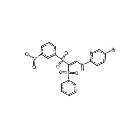 O=[N+]([O-])c1cccc(S(=O)(=O)C(=CNc2ccc(Br)cn2)S(=O)(=O)c2ccccc2)c1